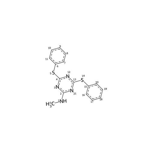 CNc1nc(Sc2ccccc2)nc(Sc2ccccc2)n1